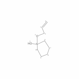 C=CCOC1(O)CCCCC1